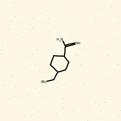 CC(C)(C)CC1CCC(C(=N)N)CC1